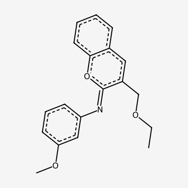 CCOCc1cc2ccccc2oc1=Nc1cccc(OC)c1